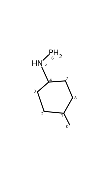 CC1CCC(NP)CC1